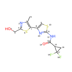 Cc1nc(CO)sc1-c1csc(NC(=O)C2CC2(F)F)n1